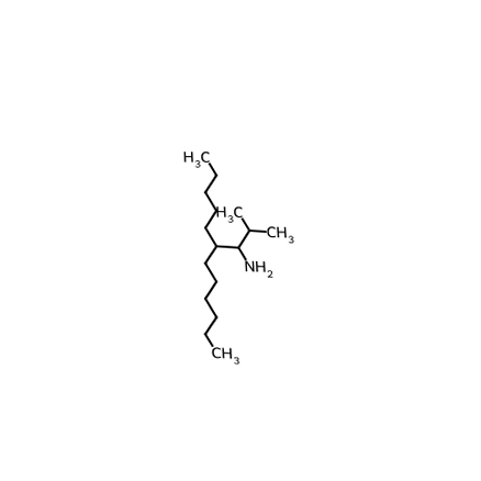 CCCCCCC(CCCCC)C(N)C(C)C